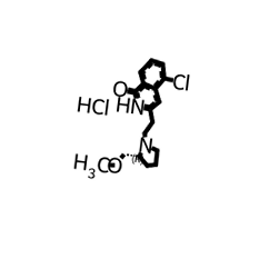 COC[C@H]1CCCN1CCc1cc2c(Cl)cccc2c(=O)[nH]1.Cl